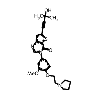 COc1cc(-n2cnc3cc(C#CC(C)(C)O)sc3c2=O)ccc1OCCN1CCCC1